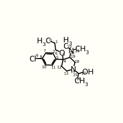 CCCOC1(c2ccc(Cl)cc2)CCN(C(C)O)CC1N(C)C